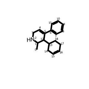 CC1NCC=C(c2ccccc2)C1C1CC=CCC1